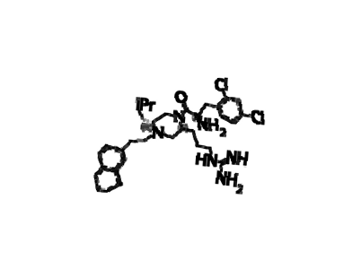 CC(C)C[C@@H]1CN(C(=O)[C@H](N)Cc2ccc(Cl)cc2Cl)[C@@H](CCCNC(=N)N)CN1CCc1ccc2ccccc2c1